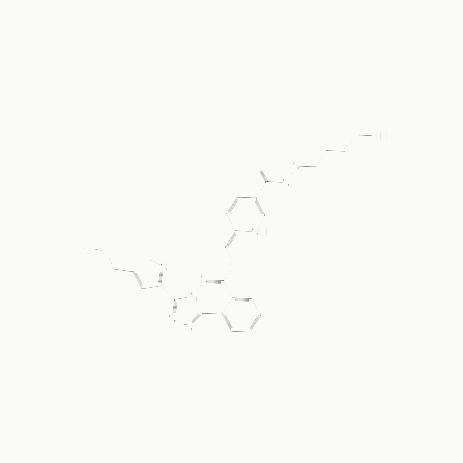 COCCCNNC(=O)C1=CNC(=COc2nn3c(-c4cc(COC)on4)nnc3c3ccccc23)C=C1